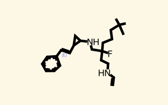 C=CNCCC(F)(CCCC(C)(C)C)CNC1CC1/C=C/c1ccccc1